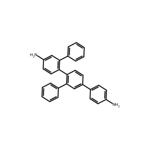 Nc1ccc(-c2ccc(-c3ccc(N)cc3-c3ccccc3)c(-c3ccccc3)c2)cc1